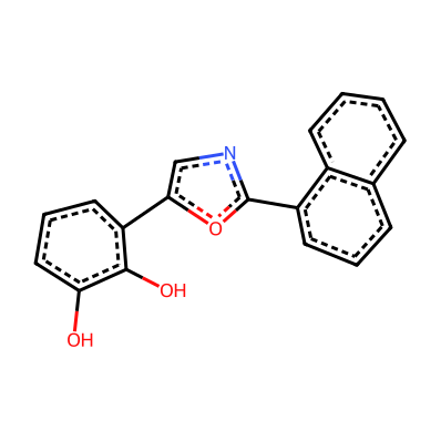 Oc1cccc(-c2cnc(-c3cccc4ccccc34)o2)c1O